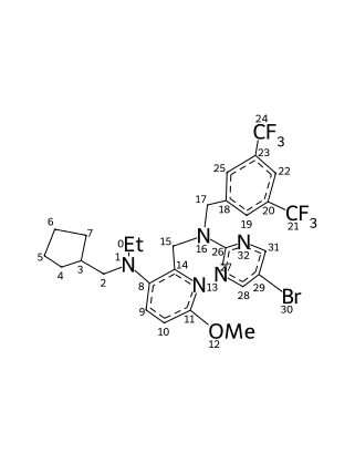 CCN(CC1CCCC1)c1ccc(OC)nc1CN(Cc1cc(C(F)(F)F)cc(C(F)(F)F)c1)c1ncc(Br)cn1